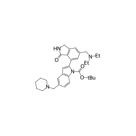 CCN(CC)Cc1cc2c(c(-c3cc4cc(CN5CCCCC5)ccc4n3C(=O)OC(C)(C)C)c1)C(=O)NC2